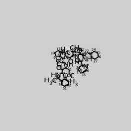 CCC[C@H](NC(=O)[C@@H]1[C@H]2CCC[C@H]2CN1C(=O)[C@@H](NC(=O)[C@H](CC1CCCCC1)NC(=O)c1cnccn1)C(C)(C)C)C(=O)C(=O)N[C@@H](C)c1ccccc1